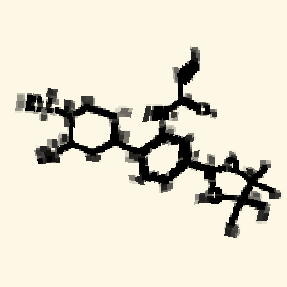 C=CC(=O)Nc1cc(B2OC(C)(C)C(C)(C)O2)ccc1C1CCN(C(=O)O)C(C(C)(C)C)C1